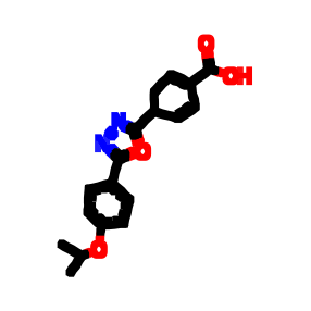 CC(C)Oc1ccc(-c2nnc(C3C=CC(C(=O)O)=CC3)o2)cc1